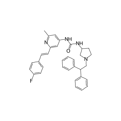 Cc1cc(NC(=O)NC2CCN(CC(c3ccccc3)c3ccccc3)C2)cc(C=Cc2ccc(F)cc2)n1